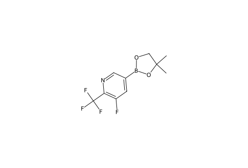 CC1(C)COB(c2cnc(C(F)(F)F)c(F)c2)O1